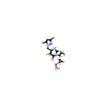 Cc1cc(C)n(Cc2nc3sc(C)c([C@@H]4C[C@H]4CO)n3c(=O)c2F)n1